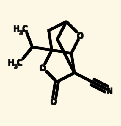 CC(C)C12CC3CC(C#N)(C(=O)O1)C2O3